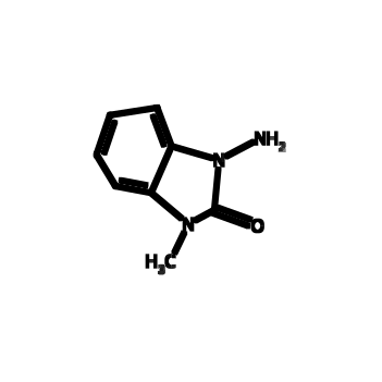 Cn1c(=O)n(N)c2ccccc21